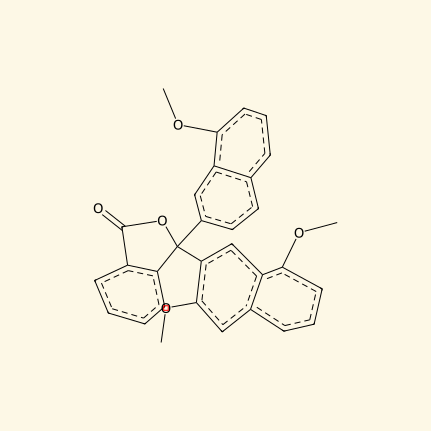 COc1cc2cccc(OC)c2cc1C1(c2ccc3cccc(OC)c3c2)OC(=O)c2ccccc21